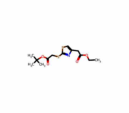 CCOC(=O)Cc1csc(SCC(=O)OC(C)(C)C)n1